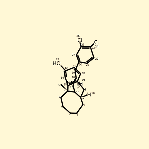 C[C@@]12CCCCC[C@@H](Cc3ccc(O)cc31)[C@@H]2NCCc1ccc(Cl)c(Cl)c1